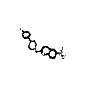 O=[N+]([O-])c1ccc2nc(CN3CCC(c4ccc(F)cc4)CC3)ccc2c1